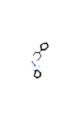 Cn1c(CN2CCC(c3ccc(F)cc3)CC2)nc2ccccc21